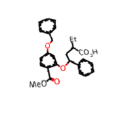 CCC(CC(Oc1cc(OCc2ccccc2)ccc1C(=O)OC)c1ccccc1)C(=O)O